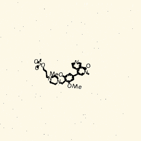 COc1cc(-c2cn(C)c(=O)c3cnccc23)cc(OC)c1CN1CCN(CCCOS(C)(=O)=O)CC1